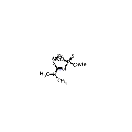 COP(=S)(/N=C(\SC(C)C)N(C)C)OC